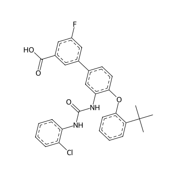 CC(C)(C)c1ccccc1Oc1ccc(-c2cc(F)cc(C(=O)O)c2)cc1NC(=O)Nc1ccccc1Cl